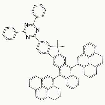 CC1(C)c2cc(-c3nc(-c4ccccc4)nc(-c4ccccc4)n3)ccc2-c2cc3c(-c4cc5c6c(ccc7c6c4C=CC7)CC=C5)c4ccccc4c(-c4cc5cccc6c5c5c4CC=CC5=CC6)c3cc21